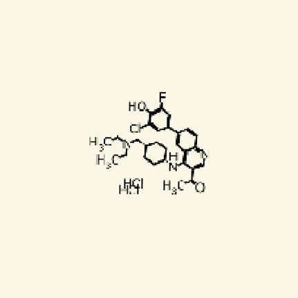 CCN(CC)C[C@H]1CC[C@H](Nc2c(C(C)=O)cnc3ccc(-c4cc(F)c(O)c(Cl)c4)cc23)CC1.Cl.Cl